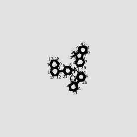 CC1(C)C2=CC(N(c3ccc(C4=CC=CC5C=CC=CC45)cc3)c3cccc4c3oc3ccccc34)=CCC2c2ccccc21